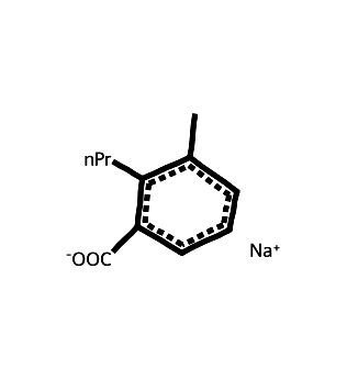 CCCc1c(C)cccc1C(=O)[O-].[Na+]